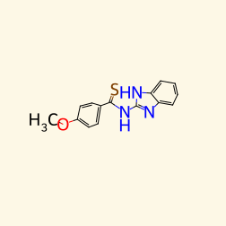 COc1ccc(C(=S)Nc2nc3ccccc3[nH]2)cc1